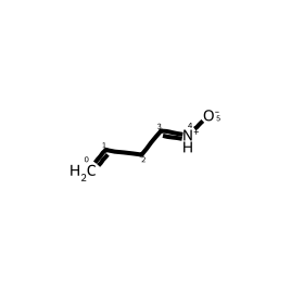 C=CCC=[NH+][O-]